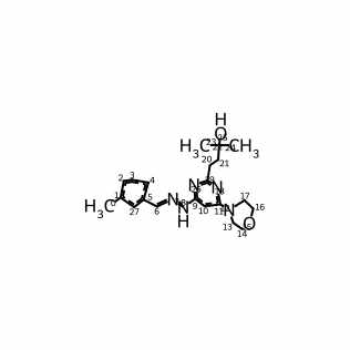 Cc1cccc(/C=N/Nc2cc(N3CCOCC3)nc(CCC(C)(C)O)n2)c1